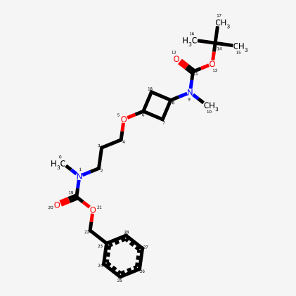 CN(CCCOC1CC(N(C)C(=O)OC(C)(C)C)C1)C(=O)OCc1ccccc1